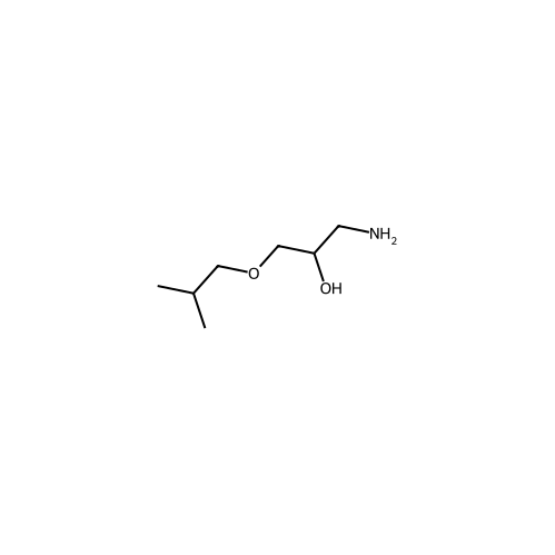 CC(C)COCC(O)CN